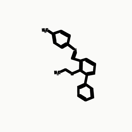 CCOc1c(/C=N/c2ccc(C)cc2)cccc1-c1ccccc1